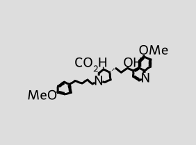 COc1ccc(CCCCN2CC[C@@H](CC[C@@H](O)c3ccnc4ccc(OC)cc34)[C@@H](C(=O)O)C2)cc1